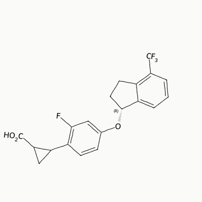 O=C(O)C1CC1c1ccc(O[C@@H]2CCc3c2cccc3C(F)(F)F)cc1F